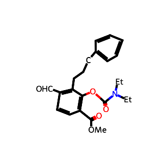 CCN(CC)C(=O)Oc1c(C(=O)OC)ccc(C=O)c1CCCc1ccccc1